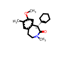 COc1cc2c(cc1C)CCN(C)C(=O)[C@H]2C1=CCCCC1